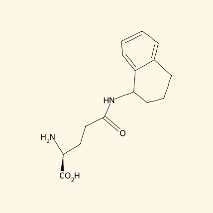 N[C@@H](CCC(=O)NC1CCCc2ccccc21)C(=O)O